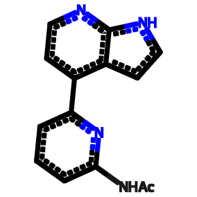 CC(=O)Nc1cccc(-c2ccnc3[nH]ccc23)n1